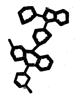 Cc1ccc2c(C3=CC=C[C@H](C)C3)c3ccccc3c(-c3ccc(-n4c(-c5ccccc5)nc5ccccc54)cc3)c2c1